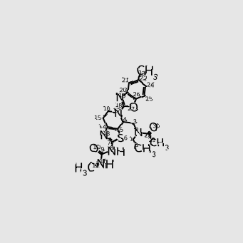 CCN(CC1c2sc(NC(=O)NC)nc2CCN1c1nc2cc(C)ccc2o1)C(C)=O